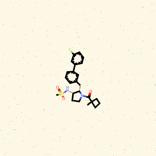 CC1(C(=O)N2CC[C@H](NS(C)(=O)=O)[C@@H]2Cc2cccc(-c3cccc(F)c3)c2)CCC1